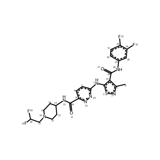 Cc1nsc(Nc2ccc(C(=O)NC3CCN(CC(F)F)CC3)nn2)c1C(=O)Nc1ccc(F)c(F)c1